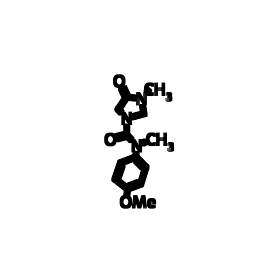 COc1ccc(N(C)C(=O)N2CC(=O)N(C)C2)cc1